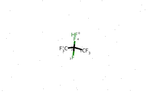 F.FC(F)(F)C(F)(F)C(F)(F)F